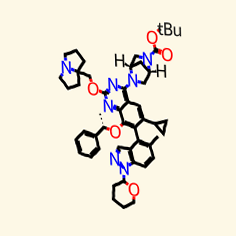 Cc1ccc2c(cnn2C2CCCCO2)c1-c1c(C2CC2)cc2c(N3C[C@@H]4C[C@H]3CN4C(=O)OC(C)(C)C)nc(OCC34CCCN3CCC4)nc2c1O[C@@H](C)c1ccccc1